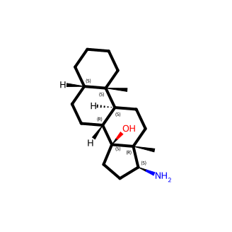 C[C@]12CCCC[C@H]1CC[C@@H]1[C@@H]2CC[C@]2(C)[C@@H](N)CC[C@]12O